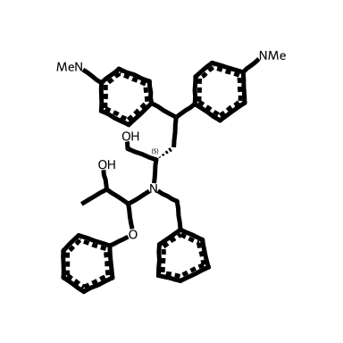 CNc1ccc(C(C[C@@H](CO)N(Cc2ccccc2)C(Oc2ccccc2)C(C)O)c2ccc(NC)cc2)cc1